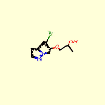 CC(O)COc1cn2nccc2cc1Br